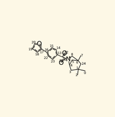 CC1(C)CC2CC(C)(CN2S(=O)(=O)c2ccc(-c3ccco3)cc2)C1